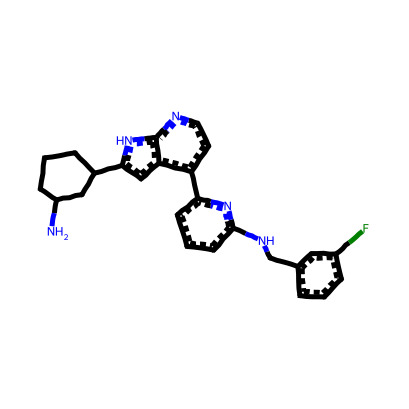 NC1CCCC(c2cc3c(-c4cccc(NCc5cccc(F)c5)n4)ccnc3[nH]2)C1